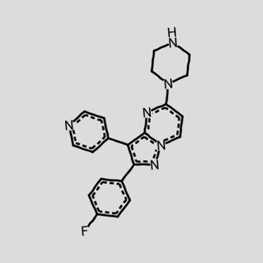 Fc1ccc(-c2nn3ccc(N4CCNCC4)nc3c2-c2ccncc2)cc1